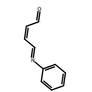 O=[C]/C=C\[C]=N\c1ccccc1